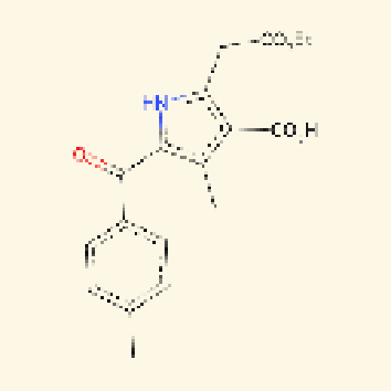 CCOC(=O)Cc1[nH]c(C(=O)c2ccc(C)cc2)c(C)c1C(=O)O